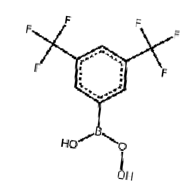 OOB(O)c1cc(C(F)(F)F)cc(C(F)(F)F)c1